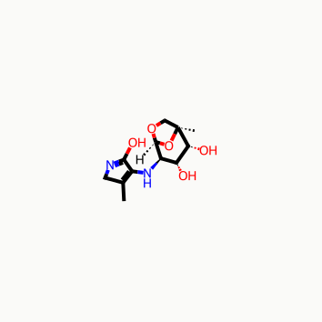 CC1=C(N[C@H]2[C@H]3OC[C@](C)(O3)[C@H](O)[C@@H]2O)C(O)=NC1